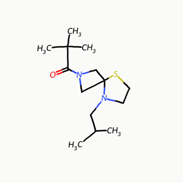 CC(C)CN1CCSC12CN(C(=O)C(C)(C)C)C2